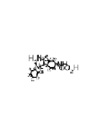 Nc1sc2c(c1-c1nc3ccccc3s1)CCC(NC(=O)O)C2